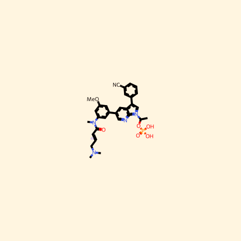 COc1cc(-c2cnc3c(c2)c(-c2cccc(C#N)c2)cn3C(C)OP(=O)(O)O)cc(N(C)C(=O)/C=C/CN(C)C)c1